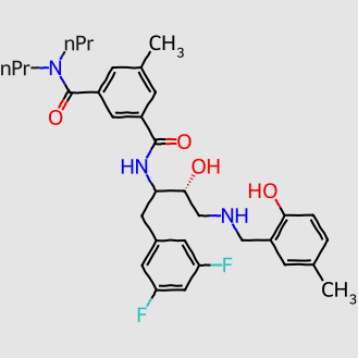 CCCN(CCC)C(=O)c1cc(C)cc(C(=O)NC(Cc2cc(F)cc(F)c2)[C@H](O)CNCc2cc(C)ccc2O)c1